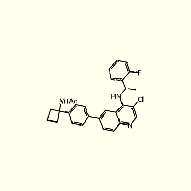 CC(=O)NC1(c2ccc(-c3ccc4ncc(Cl)c(N[C@H](C)c5ccccc5F)c4c3)cc2)CCC1